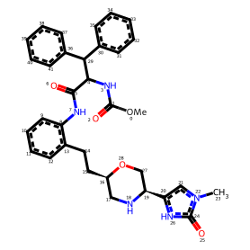 COC(=O)NC(C(=O)Nc1ccccc1CC[C@@H]1CN[C@H](c2cn(C)c(=O)[nH]2)CO1)C(c1ccccc1)c1ccccc1